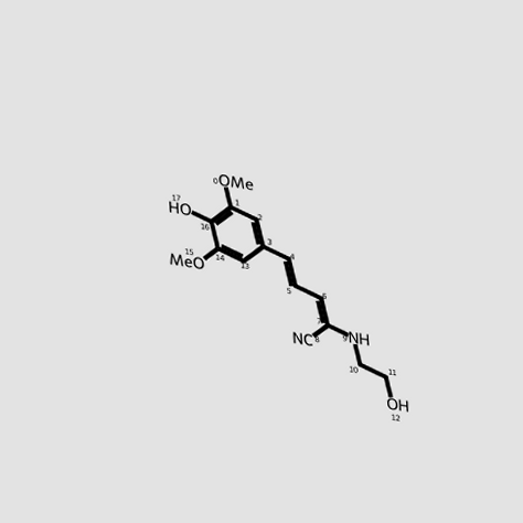 COc1cc(/C=C/C=C(\C#N)NCCO)cc(OC)c1O